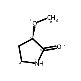 CO[C@@H]1CCNC1=O